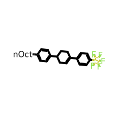 CCCCCCCCc1ccc(C2CC=C(c3ccc(S(F)(F)(F)(F)F)cc3)CC2)cc1